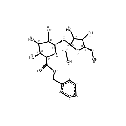 O=C(OCc1ccccc1)C1O[C@H](O[C@]2(CO)O[C@H](CO)C(O)C2O)C(O)C(O)[C@@H]1O